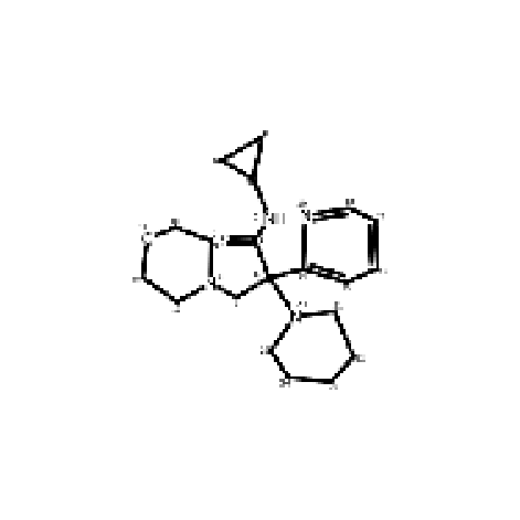 S=C(NC1CC1)C(CN1CCOCC1)(c1ccccn1)N1CCCCC1